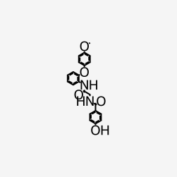 COc1ccc(Oc2ccccc2NC(=O)CNC(=O)c2ccc(O)cc2)cc1